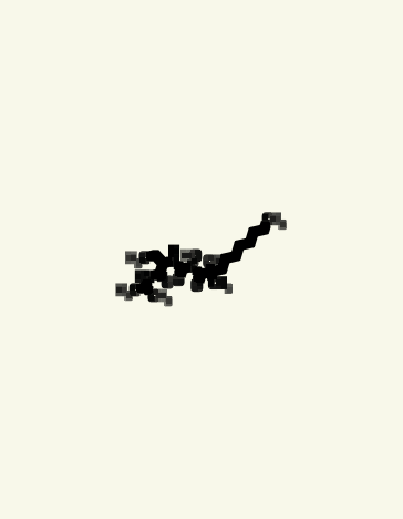 CCCCCCCCC(C)(C)C(=O)N(O)C(=O)NC(CC)C(=O)NC(C)C